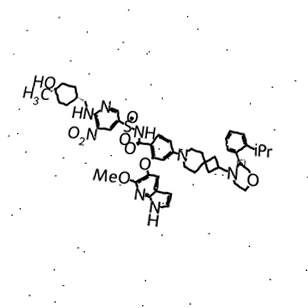 COc1nc2[nH]ccc2cc1Oc1cc(N2CCC3(CC2)CC(N2CCOC[C@@H]2c2ccccc2C(C)C)C3)ccc1C(=O)NS(=O)(=O)c1cnc(NC[C@H]2CC[C@](C)(O)CC2)c([N+](=O)[O-])c1